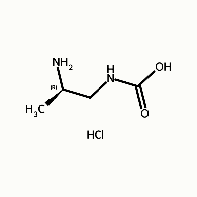 C[C@@H](N)CNC(=O)O.Cl